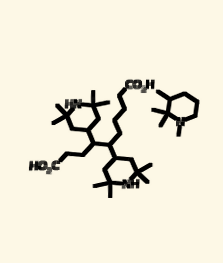 CC1(C)CC(C(CCCCC(=O)O)C(CCC(=O)O)C2CC(C)(C)NC(C)(C)C2)CC(C)(C)N1.CC1CCCN(C)C1(C)C